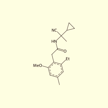 CCc1cc(C)cc(OC)c1CC(=O)NC(C)(C#N)C1CC1